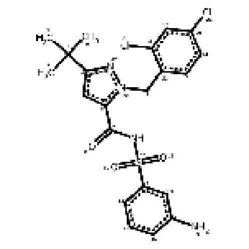 CC(C)(C)c1cc(C(=O)NS(=O)(=O)c2cccc(N)c2)n(Cc2ccc(Cl)cc2Cl)n1